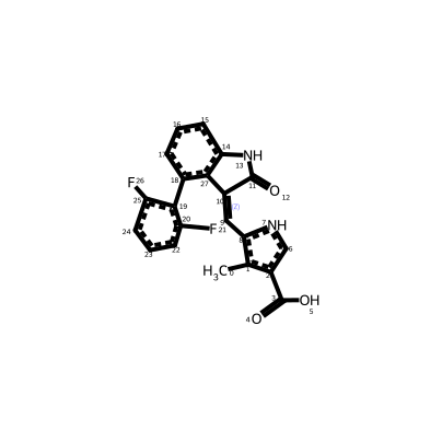 Cc1c(C(=O)O)c[nH]c1/C=C1\C(=O)Nc2cccc(-c3c(F)cccc3F)c21